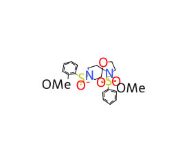 COc1ccccc1[S+]([O-])N1CCC2(CC1)OCCN2S(=O)(=O)c1ccccc1OC